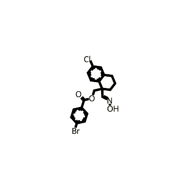 O=C(OCC1(C=NO)CCCc2cc(Cl)ccc21)c1ccc(Br)cc1